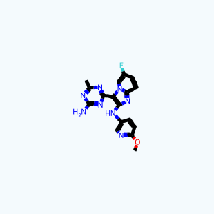 COc1ccc(Nc2nc3ccc(F)cn3c2-c2nc(C)nc(N)n2)cn1